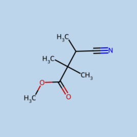 COC(=O)C(C)(C)C(C)C#N